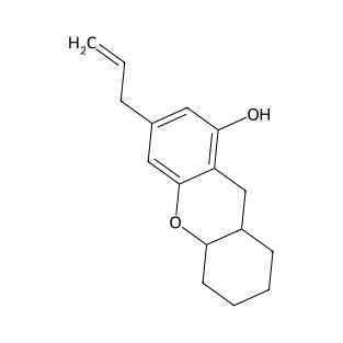 C=CCc1cc(O)c2c(c1)OC1CCCCC1C2